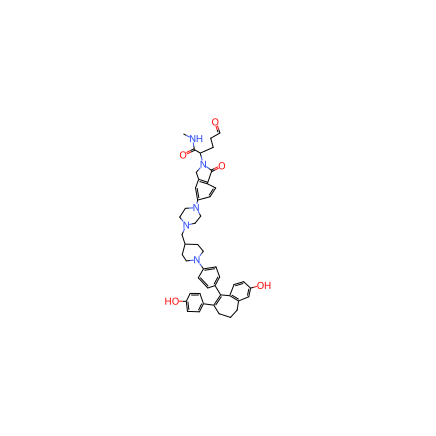 CNC(=O)C(CCC=O)N1Cc2cc(N3CCN(CC4CCN(c5ccc(C6=C(c7ccc(O)cc7)CCCc7cc(O)ccc76)cc5)CC4)CC3)ccc2C1=O